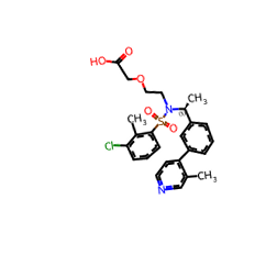 Cc1cnccc1-c1cccc([C@H](C)N(CCOCC(=O)O)S(=O)(=O)c2cccc(Cl)c2C)c1